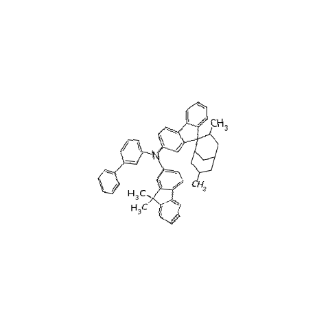 CC1CC2CC(C)C3(c4ccccc4-c4ccc(N(c5cccc(-c6ccccc6)c5)c5ccc6c(c5)C(C)(C)c5ccccc5-6)cc43)C(C1)C2